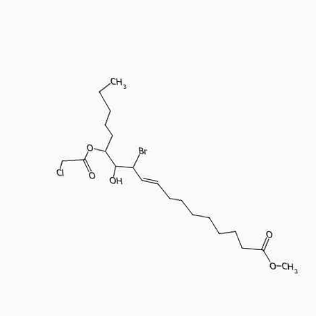 CCCCCC(OC(=O)CCl)C(O)C(Br)C=CCCCCCCCC(=O)OC